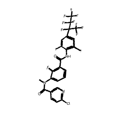 CN(C(=O)c1ccc(Cl)nc1)c1cccc(C(=O)Nc2c(I)cc(C(F)(C(F)(F)F)C(F)(F)C(F)(F)F)cc2I)c1F